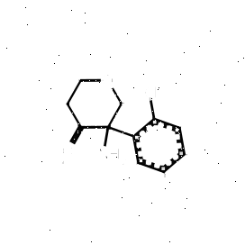 NC1(c2ccccc2Cl)COCCC1=O